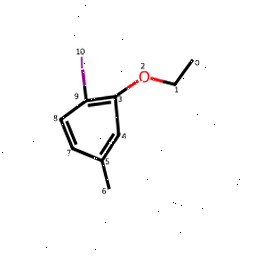 CCOc1cc(C)ccc1I